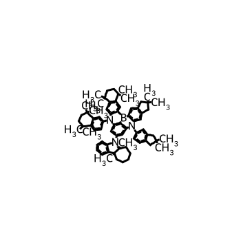 CC1(C)Cc2ccc(N3c4cc5c(cc4B4c6cc7c(cc6N(c6ccc8c(c6)C(C)(C)CCC8(C)C)c6cc(N8c9ccccc9C9(C)CCCCCC89C)cc3c64)C(C)(C)CCC7(C)C)CC(C)(C)C5)cc2C1